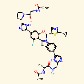 CCCN(Cc1ncc(-c2ccc3c(c2)cc2n3[C@H](c3cnc(C4CC4)s3)Oc3cc(-c4cnc([C@@H]5CCCN5C(=O)CNC(=O)OC)[nH]4)cc(F)c3-2)[nH]1)C(=O)[C@@H](NC(=O)OC)C(C)C